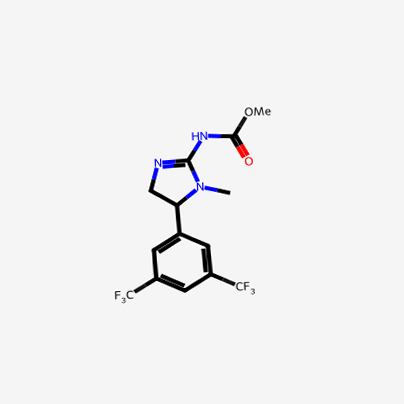 COC(=O)NC1=NCC(c2cc(C(F)(F)F)cc(C(F)(F)F)c2)N1C